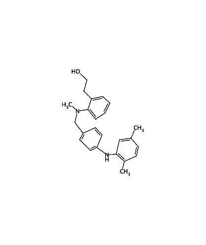 Cc1ccc(C)c(Nc2ccc(CN(C)c3ccccc3CCO)cc2)c1